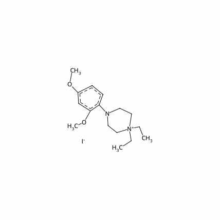 CC[N+]1(CC)CCN(c2ccc(OC)cc2OC)CC1.[I-]